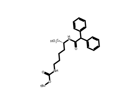 CC(C)(C)OC(=O)NCCCC[C@@H](NC(=O)C(c1ccccc1)c1ccccc1)C(=O)O